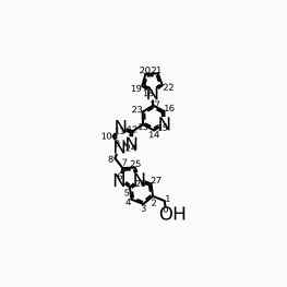 OCc1ccc2nc(Cn3cnc(-c4cncc(-n5cccc5)c4)n3)cn2c1